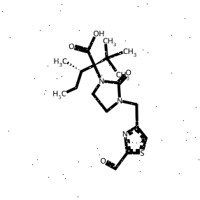 CC[C@H](C)[C@](C(=O)O)(N1CCN(Cc2csc(C=O)n2)C1=O)C(C)(C)C